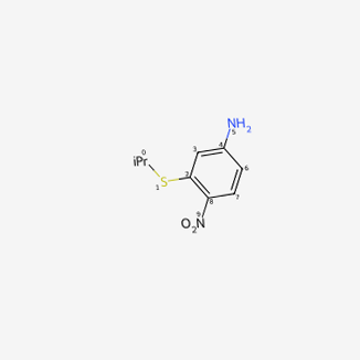 CC(C)Sc1cc(N)ccc1[N+](=O)[O-]